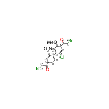 COc1c(C(=O)CBr)cc(Cl)c(-c2ccc(C(=O)CBr)cc2)c1[N+](=O)[O-]